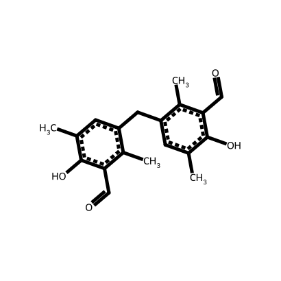 Cc1cc(Cc2cc(C)c(O)c(C=O)c2C)c(C)c(C=O)c1O